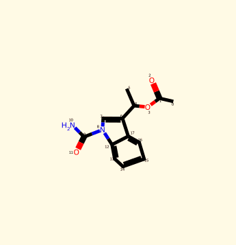 CC(=O)OC(C)c1cn(C(N)=O)c2ccccc12